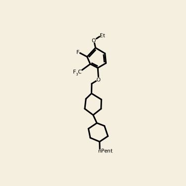 CCCCCC1CCC(C2CCC(COc3ccc(OCC)c(F)c3C(F)(F)F)CC2)CC1